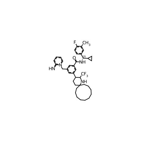 Cc1cc([C@@H](NC(=O)c2cc(Cn3ccccc3=N)cc(C3CCC4(CCCCCCCCCC4)NC3C(F)(F)F)c2)C2CC2)ccc1F